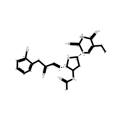 CCc1cn([C@@H]2CC(OC(C)=O)[C@H](/C=C/C(=O)Cc3ccccc3Cl)O2)c(=O)[nH]c1=O